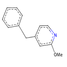 COc1cc(Cc2ccccc2)ccn1